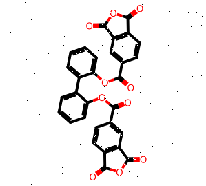 O=C(Oc1ccccc1-c1ccccc1OC(=O)c1ccc2c(c1)C(=O)OC2=O)c1ccc2c(c1)C(=O)OC2=O